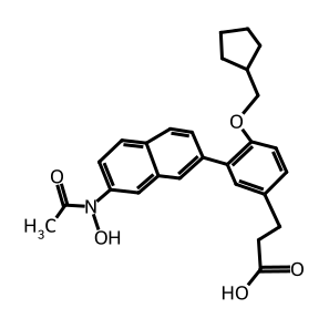 CC(=O)N(O)c1ccc2ccc(-c3cc(CCC(=O)O)ccc3OCC3CCCC3)cc2c1